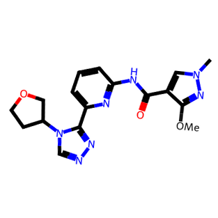 COc1nn(C)cc1C(=O)Nc1cccc(-c2nncn2C2CCOC2)n1